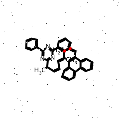 C=C(/C=C\c1cc2ccccc2c2ccccc12)/C(C)=C/C=C\C(C)c1nc(-c2ccccc2)nc(-c2ccccc2)n1